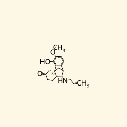 C=CCNC1C2C[C@]3(CC(=O)CCC13)c1c2ccc(OC)c1O